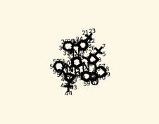 Cc1cc(C(C)(C)C)cc2c1N1c3cc(N4c5ccc(C(C)(C)C)cc5C5(C)CCCCC45C)cc4c3B(c3cc(C(C)(C)C)cc5c3N4C3(C)CCCCC53C)c3ccc4oc5c(c4c31)C2C=CC=C5